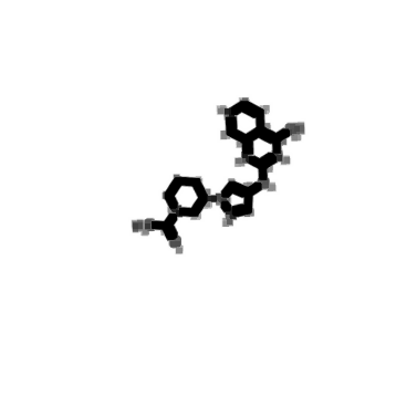 CC(=O)N1CCC[C@H](n2cc(Oc3nc(O)c4ccncc4n3)cn2)C1